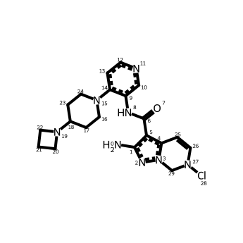 Nc1nn2c(c1C(=O)Nc1cnccc1N1CCC(N3CCC3)CC1)C=CN(Cl)C2